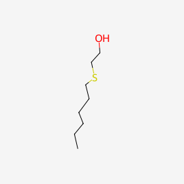 CCCCCCSCCO